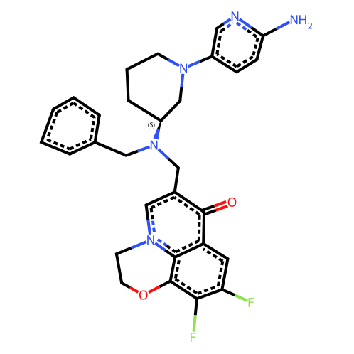 Nc1ccc(N2CCC[C@H](N(Cc3ccccc3)Cc3cn4c5c(c(F)c(F)cc5c3=O)OCC4)C2)cn1